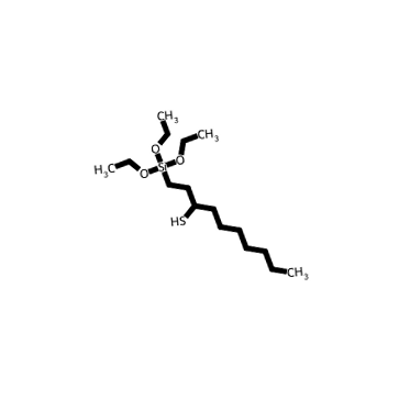 CCCCCCCC(S)CC[Si](OCC)(OCC)OCC